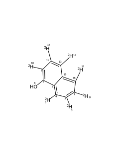 [2H]c1c([2H])c([2H])c2c(O)c([2H])c([2H])c([2H])c2c1[2H]